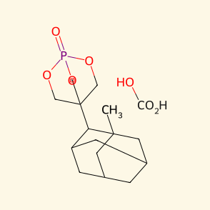 CC12CC3CC(CC(C3)C1C13COP(=O)(OC1)OC3)C2.O=C(O)O